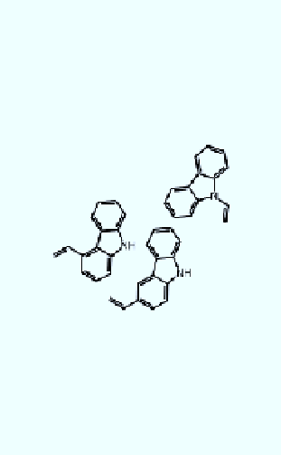 C=Cc1ccc2[nH]c3ccccc3c2c1.C=Cc1cccc2[nH]c3ccccc3c12.C=Cn1c2ccccc2c2ccccc21